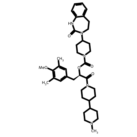 COc1c(C)cc(C[C@@H](OC(=O)N2CCC(N3CCc4ccccc4NC3=O)CC2)C(=O)N2CCC(C3CCN(C)CC3)CC2)cc1C